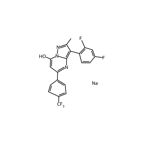 Cc1nn2c(O)cc(-c3ccc(C(F)(F)F)cc3)nc2c1-c1ccc(F)cc1F.[Na]